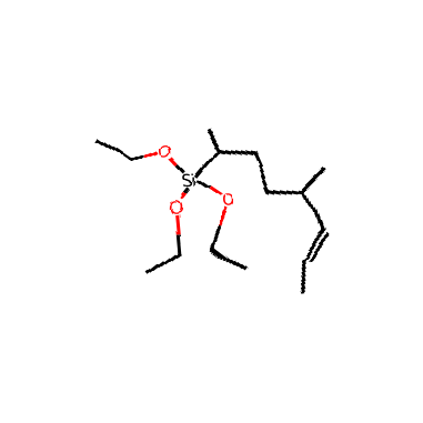 C/C=C/C(C)CCC(C)[Si](OCC)(OCC)OCC